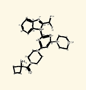 NC1(C(=O)N2CCN(c3cc(N4CCOCC4)nc(-n4c(C(F)F)nc5ccccc54)n3)CC2)CCC1